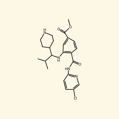 COC(=O)c1ccc(C(=O)Nc2ccc(Cl)cn2)c(NC(C(C)C)C2CCNCC2)c1